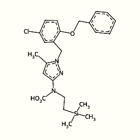 Cc1cc(N(CC[Si](C)(C)C)C(=O)O)nn1Cc1cc(Cl)ccc1OCc1ccccc1